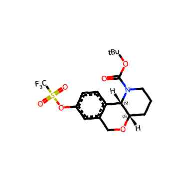 CC(C)(C)OC(=O)N1CCC[C@@H]2OCc3cc(OS(=O)(=O)C(F)(F)F)ccc3[C@@H]21